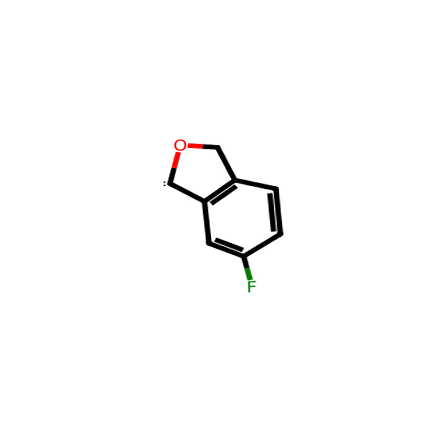 Fc1ccc2c(c1)[C]OC2